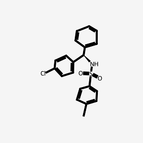 Cc1ccc(S(=O)(=O)N[C@H](c2ccccc2)c2ccc(Cl)cc2)cc1